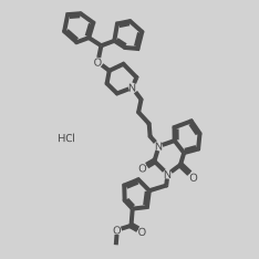 COC(=O)c1cccc(Cn2c(=O)c3ccccc3n(CCCCN3CCC(OC(c4ccccc4)c4ccccc4)CC3)c2=O)c1.Cl